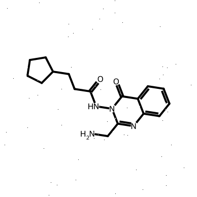 NCc1nc2ccccc2c(=O)n1NC(=O)CCC1CCCC1